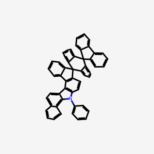 c1ccc(-n2c3ccc4c(c3c3ccc5ccccc5c32)-c2ccccc2C42c3ccccc3C3(c4ccccc4-c4ccccc43)c3ccccc32)cc1